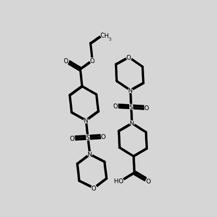 CCOC(=O)C1CCN(S(=O)(=O)N2CCOCC2)CC1.O=C(O)C1CCN(S(=O)(=O)N2CCOCC2)CC1